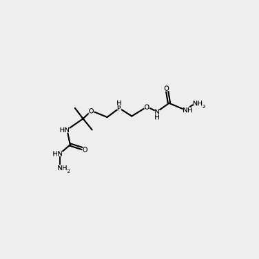 CC(C)(NC(=O)NN)OCPCONC(=O)NN